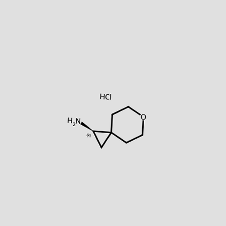 Cl.N[C@@H]1CC12CCOCC2